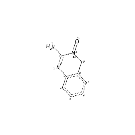 NC1=Nc2ccccc2C[N+]1=O